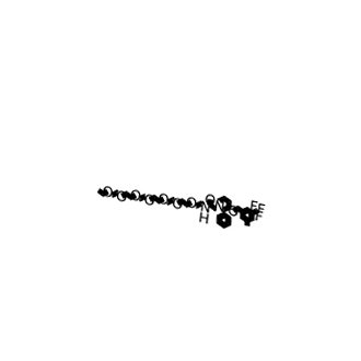 CCOCCOCCOCCOCCOCCOCCOCCNC(=O)CN1CCC[C@H](OCc2cc(C)cc(C(F)(F)F)c2)[C@@H]1c1ccccc1